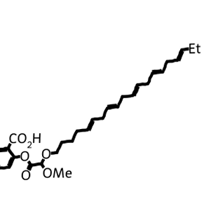 CCC=CCC=CCC=CCC=CCC=CCCCCOC(OC)C(=O)Oc1ccccc1C(=O)O